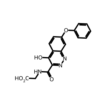 O=C(O)CNC(=O)c1nnc2cc(Oc3ccccc3)ccc2c1O